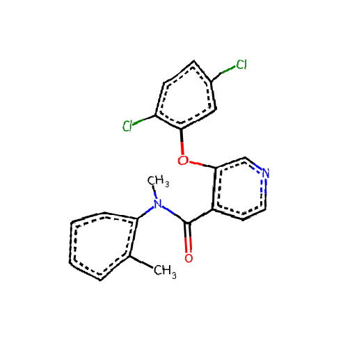 Cc1ccccc1N(C)C(=O)c1ccncc1Oc1cc(Cl)ccc1Cl